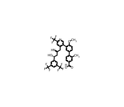 COc1ccc(-c2ccc(C(=O)O)cc2C)cc1-c1cnc(C(F)(F)F)cc1CC(=N)C[C@H](O)c1cc(C(F)(F)F)cc(C(F)(F)F)c1